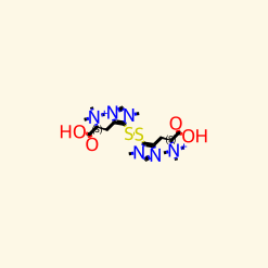 Cn1cnc(C[C@@H](C(=O)O)[N+](C)(C)C)c1SSc1c(C[C@@H](C(=O)O)[N+](C)(C)C)ncn1C